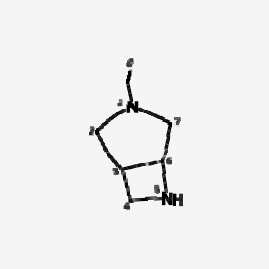 IN1CC2CNC2C1